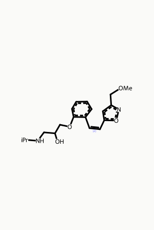 COCc1cc(/C=C\c2ccccc2OCC(O)CNC(C)C)on1